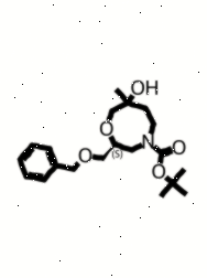 CC1(O)CCN(C(=O)OC(C)(C)C)C[C@@H](COCc2ccccc2)OC1